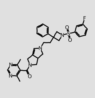 Cc1ncnc(C)c1C(=O)N1CC2=CN(CCC3(c4ccccc4)CN(S(=O)(=O)c4cccc(F)c4)C3)CC2C1